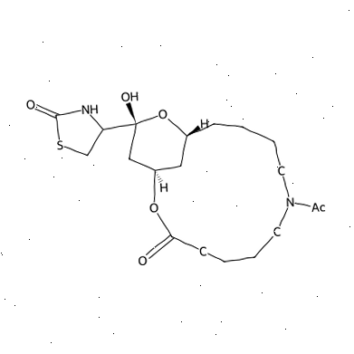 CC(=O)N1CCCCC(=O)O[C@@H]2C[C@@H](CCCC1)O[C@@](O)(C1CSC(=O)N1)C2